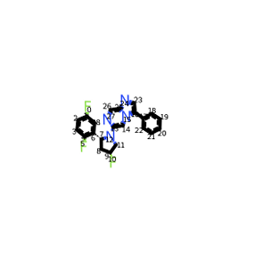 Fc1ccc(F)c([C@H]2C[C@H](F)CN2c2cn3c(-c4ccccc4)cnc3cn2)c1